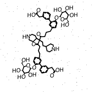 O=C(O)Cc1cccc(-c2cc(CCCC(=O)C(CCC3CCNCC3)(C(=O)CCCc3ccc(O[C@H]4O[C@H](CO)[C@@H](O)[C@H](O)[C@@H]4O)c(-c4cccc(CC(=O)O)c4)c3)C3CCNCC3)ccc2O[C@H]2O[C@H](CO)[C@@H](O)[C@H](O)[C@@H]2O)c1